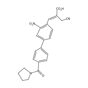 N#CC/C(=C\c1ccc(-c2ccc(C(=O)N3CCCC3)cc2)cc1[N+](=O)[O-])C(=O)O